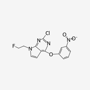 O=[N+]([O-])c1cccc(Oc2nc(Cl)nc3c2ccn3CCF)c1